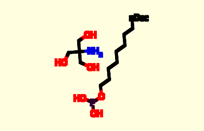 CCCCCCCCCCCCCCCCCCOP(O)O.NC(CO)(CO)CO